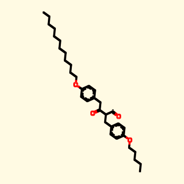 CCCCCCCCCCCCOc1ccc(CC(=O)C([C]=O)Cc2ccc(OCCCCC)cc2)cc1